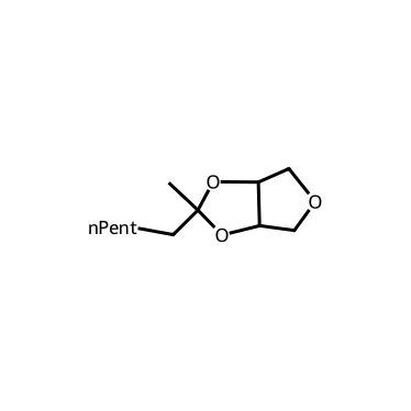 CCCCCCC1(C)OC2COCC2O1